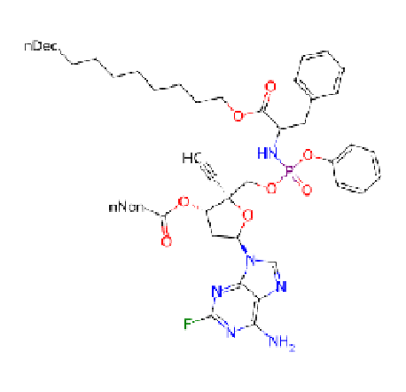 C#C[C@]1(COP(=O)(NC(Cc2ccccc2)C(=O)OCCCCCCCCCCCCCCCCCC)Oc2ccccc2)O[C@@H](n2cnc3c(N)nc(F)nc32)C[C@@H]1OC(=O)CCCCCCCCC